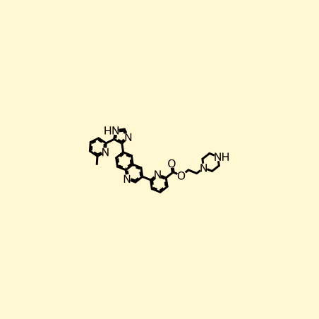 Cc1cccc(-c2[nH]cnc2-c2ccc3ncc(-c4cccc(C(=O)OCCN5CCNCC5)n4)cc3c2)n1